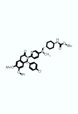 COc1cc2c(cc1OC(C)C)[C@H](c1ccc(Cl)cc1)N(c1ccc(N(C)C[C@H]3CC[C@H](NC(=O)OC(C)(C)C)CC3)cn1)C(=O)C2